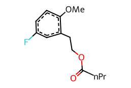 CCCC(=O)OCCc1cc(F)ccc1OC